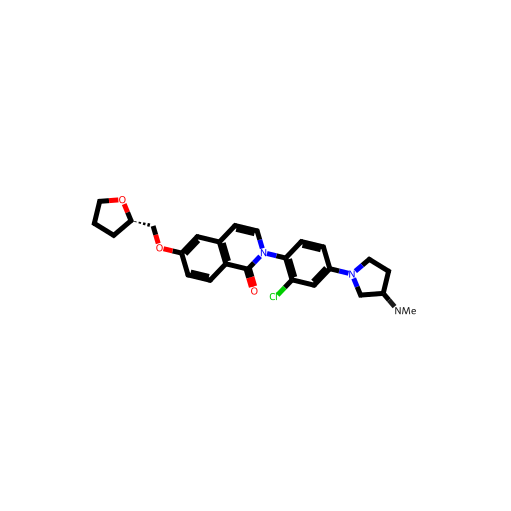 CNC1CCN(c2ccc(-n3ccc4cc(OC[C@@H]5CCCO5)ccc4c3=O)c(Cl)c2)C1